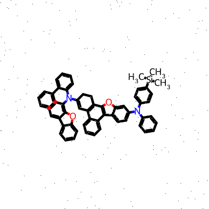 C[Si](C)(C)c1ccc(N(c2ccccc2)c2ccc3c(c2)oc2c4c(c5ccccc5c23)C=C(N(c2ccccc2-c2ccccc2)c2cccc3c2oc2ccccc23)CC4)cc1